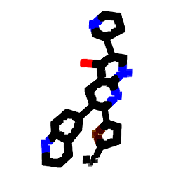 Cc1ccc(-c2nc3[nH]cc(-c4cccnc4)c(=O)c3cc2-c2ccc3ncccc3c2)s1